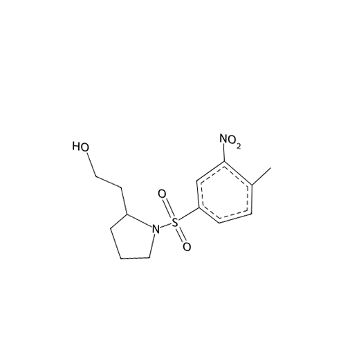 Cc1ccc(S(=O)(=O)N2CCCC2CCO)cc1[N+](=O)[O-]